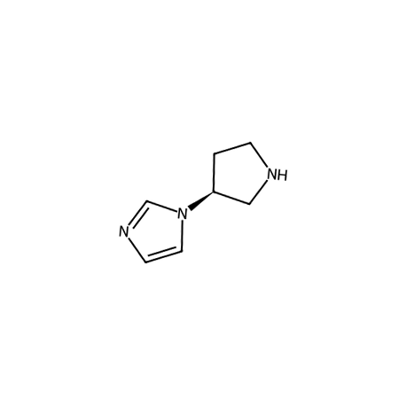 c1cn([C@H]2CCNC2)cn1